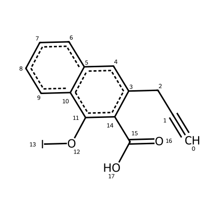 C#CCc1cc2ccccc2c(OI)c1C(=O)O